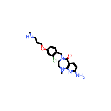 CNCCCOc1ccc(CN2CCN(C)c3nc(N)ccc3C2=O)c(Cl)c1